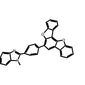 Cn1c(-c2ccc(-c3cc4c5ccccc5oc4c4c3oc3ccccc34)cc2)nc2ccccc21